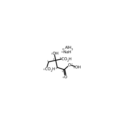 O=C(O)CC(O)(CC(=O)OO)C(=O)O.[AlH3].[NaH]